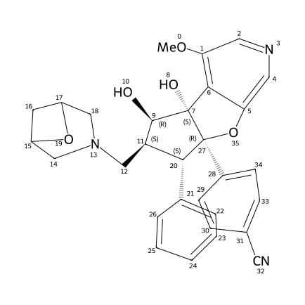 COc1cncc2c1[C@]1(O)[C@H](O)[C@H](CN3CC4CC(C3)O4)[C@@H](c3ccccc3)[C@]1(c1ccc(C#N)cc1)O2